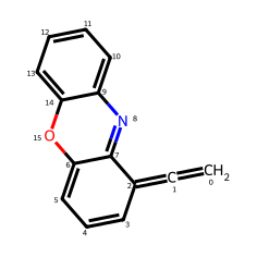 C=C=c1cccc2c1=Nc1ccccc1O2